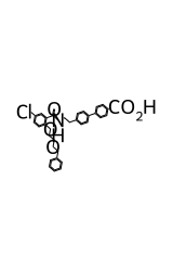 O=C(O)c1ccc(-c2ccc(CCNC(=O)c3cc(Cl)ccc3OCCOCc3ccccc3)cc2)cc1